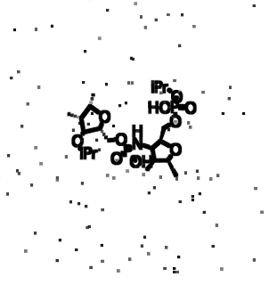 CC(C)OC1[C@@H](COP(=O)(O)NC2[C@@H](COP(=O)(O)OC(C)C)O[C@@H](C)[C@H]2C)O[C@@H](C)[C@H]1C